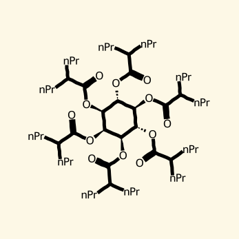 CCCC(CCC)C(=O)O[C@H]1[C@H](OC(=O)C(CCC)CCC)[C@@H](OC(=O)C(CCC)CCC)[C@H](OC(=O)C(CCC)CCC)[C@@H](OC(=O)C(CCC)CCC)[C@H]1OC(=O)C(CCC)CCC